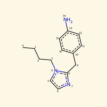 CCCCn1ccnc1Cc1ccc(N)cc1